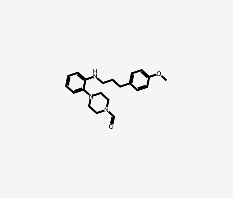 COc1ccc(CCCNc2ccccc2N2CCN(C=O)CC2)cc1